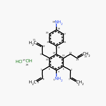 C=CCc1c(N)c(CC=C)c(CC=C)c(-c2ccc(N)cc2)c1CC=C.Cl.Cl